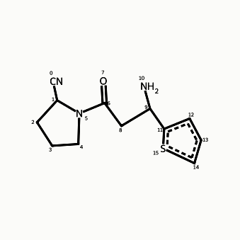 N#CC1CCCN1C(=O)CC(N)c1cccs1